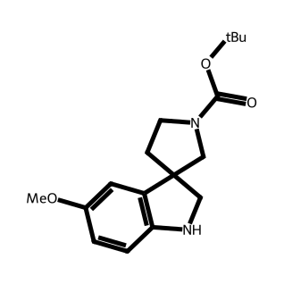 COc1ccc2c(c1)C1(CCN(C(=O)OC(C)(C)C)C1)CN2